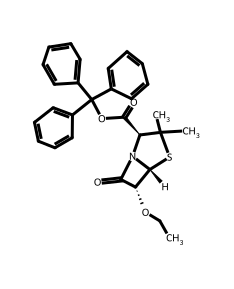 CCO[C@@H]1C(=O)N2[C@@H]1SC(C)(C)[C@@H]2C(=O)OC(c1ccccc1)(c1ccccc1)c1ccccc1